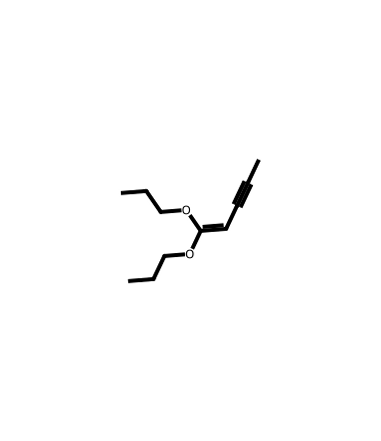 CC#CC=C(OCCC)OCCC